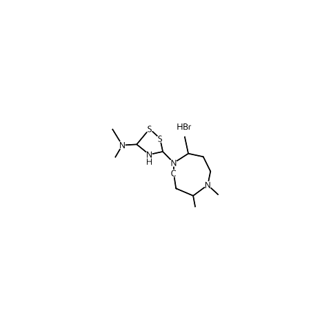 Br.CC1CCN(C2NC(N(C)C)SS2)C(C)CCN1C